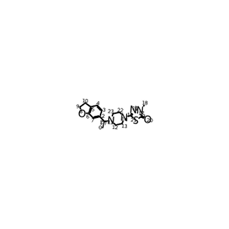 C[C@@H](c1ccc2c(c1)OCC2)N1CCN(c2nn(C)c(=O)s2)CC1